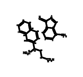 Nc1cccc2c1C=NC2=O.O=C(O)CCC(C(=O)O)c1ccc2ccccc2n1